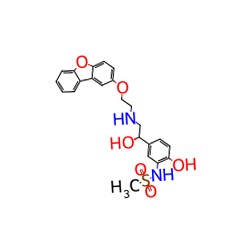 CS(=O)(=O)Nc1cc([C@@H](O)CNCCOc2ccc3oc4ccccc4c3c2)ccc1O